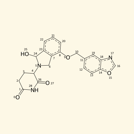 O=C1CCC(N2Cc3c(OCc4ccc5ocnc5c4)cccc3C2O)C(=O)N1